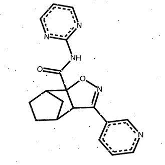 O=C(Nc1ncccn1)C12ON=C(c3cccnc3)C1C1CCC2C1